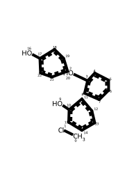 CCl.Oc1ccccc1.Oc1ccccc1.Oc1ccccc1